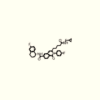 O=C(CCCCc1cc2cc(C(=O)N[C@@H]3CCCc4cc(F)ccc43)ccc2c(=O)n1-c1ccc(F)cc1)NSC1CC1